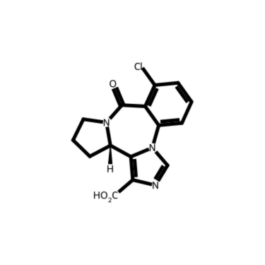 O=C(O)c1ncn2c1[C@@H]1CCCN1C(=O)c1c(Cl)cccc1-2